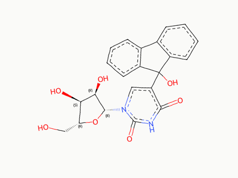 O=c1[nH]c(=O)n([C@@H]2O[C@H](CO)[C@@H](O)[C@H]2O)cc1C1(O)c2ccccc2-c2ccccc21